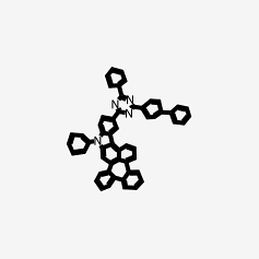 c1ccc(-c2ccc(-c3nc(-c4ccccc4)nc(-c4ccc5c(c4)c4c6cccc7c6c(cc4n5-c4ccccc4)-c4ccccc4-c4ccccc4-7)n3)cc2)cc1